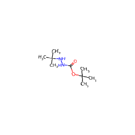 CC(C)(C)NNC(=O)OC(C)(C)C